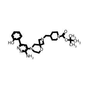 CC(C)(C)OC(=O)N1CCC(CN2CC3(C2)CN(c2cc(-c4ccccc4O)nnc2N)CCO3)CC1